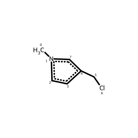 Cn1ccc(CCl)c1